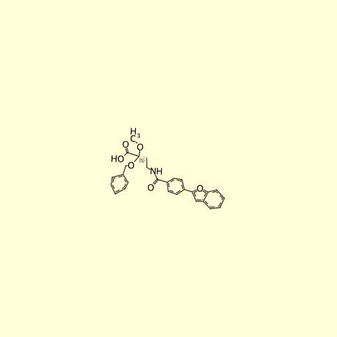 CO[C@@](CCNC(=O)c1ccc(-c2cc3ccccc3o2)cc1)(OCc1ccccc1)C(=O)O